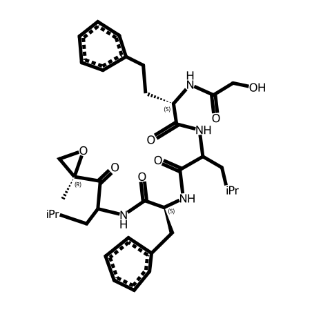 CC(C)CC(NC(=O)[C@H](CCc1ccccc1)NC(=O)CO)C(=O)N[C@@H](Cc1ccccc1)C(=O)NC(CC(C)C)C(=O)[C@@]1(C)CO1